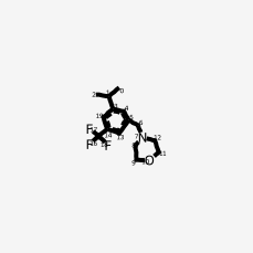 CC(C)c1cc(CN2CCOCC2)cc(C(F)(F)F)c1